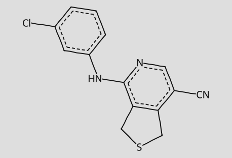 N#Cc1cnc(Nc2cccc(Cl)c2)c2c1CSC2